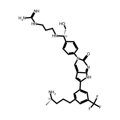 C[C@H](N)CCCc1cc(-c2cc3cn(-c4ccc([C@@H](CO)NCCCNC(=N)N)cc4)c(=O)nc3[nH]2)cc(C(F)(F)F)c1